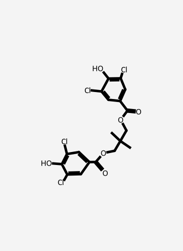 CC(C)(COC(=O)c1cc(Cl)c(O)c(Cl)c1)COC(=O)c1cc(Cl)c(O)c(Cl)c1